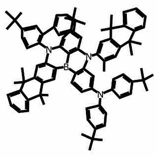 Cc1cc2c(cc1N1c3cc(N(c4ccc(C(C)(C)C)cc4)c4ccc(C(C)(C)C)cc4)ccc3B3c4cc5c(cc4N(c4ccc(C(C)(C)C)cc4-c4ccccc4)c4cc(C(C)(C)C)cc1c43)C(C)(C)c1ccccc1C5(C)C)C(C)(C)c1ccccc1C2(C)C